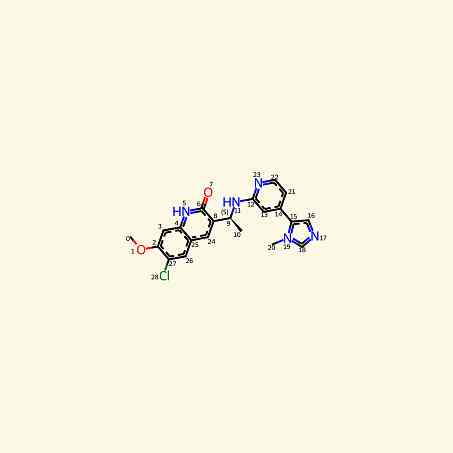 COc1cc2[nH]c(=O)c([C@H](C)Nc3cc(-c4cncn4C)ccn3)cc2cc1Cl